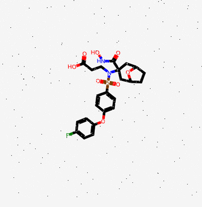 O=C(O)CCN(C1(C(=O)NO)CC2CCC(C1)O2)S(=O)(=O)c1ccc(Oc2ccc(F)cc2)cc1